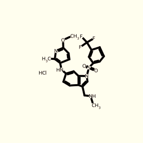 CNCc1cn(S(=O)(=O)c2cccc(C(F)(F)F)c2)c2cc(Nc3ccc(OC)nc3C)ccc12.Cl